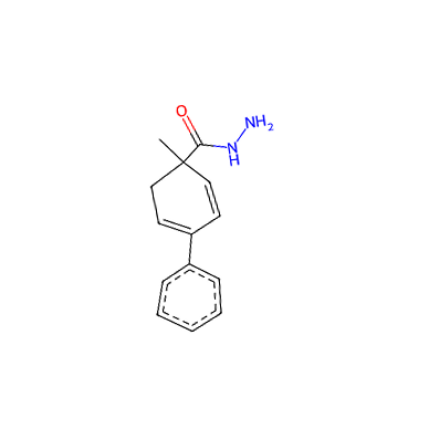 CC1(C(=O)NN)C=CC(c2ccccc2)=CC1